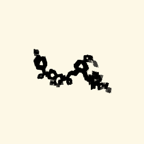 Cc1nnn(Cc2cc(C(F)(F)F)ccc2/C=C/C(=O)N(C)CC2CCN(C(=O)c3ccc(F)cc3)CC2)n1